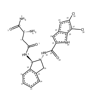 NC(=O)[C@H](N)CC(=O)N[C@@H]1c2ccccc2C[C@H]1NC(=O)c1cc2sc(Cl)c(Cl)c2[nH]1